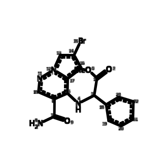 COC(=O)C(Nc1c(C(N)=O)cnn2cc(Br)cc12)c1ccccc1